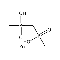 CP(=O)(O)CP(C)(=O)O.[Zn]